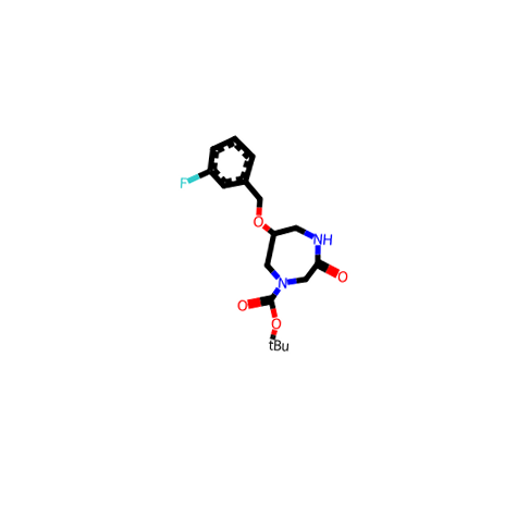 CC(C)(C)OC(=O)N1CC(=O)NCC(OCc2cccc(F)c2)C1